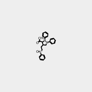 O=CC(=O)C1C(CC[S+]([O-])c2ccccc2)CN(c2ccccc2)N1c1ccccc1